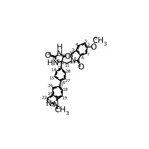 COc1ccc2c(c1)C(=O)N(C[C@@]1(c3ccc(-c4ccc5c(cnn5C)c4)cc3)NC(=O)NC1=O)C2